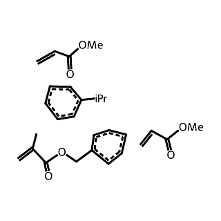 C=C(C)C(=O)OCc1ccccc1.C=CC(=O)OC.C=CC(=O)OC.[CH2]C(C)c1ccccc1